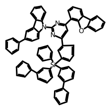 c1ccc(-c2cccc([Si](c3ccccc3)(c3cccc(-c4ccccc4)c3)c3cccc(-c4cc(-c5cccc6c5oc5ccccc56)nc(-n5c6ccccc6c6cc(-c7ccccc7)ccc65)n4)c3)c2)cc1